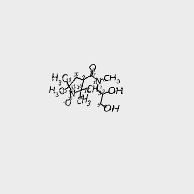 CN(CC(O)CO)C(=O)C1CC(C)(C)N([O])C1(C)C